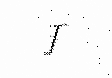 CCCCCCCCCCCCC(CCCCCCCCCCCCCCCC(=O)[O-])C(=O)[O-].[Ca+2]